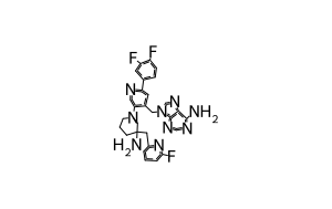 Nc1ncnc2c1ncn2Cc1cc(-c2ccc(F)c(F)c2)ncc1N1CCCC(N)(Cc2cccc(F)n2)C1